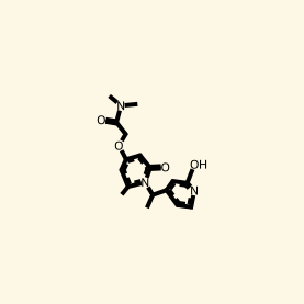 Cc1cc(OCC(=O)N(C)C)cc(=O)n1C(C)c1ccnc(O)c1